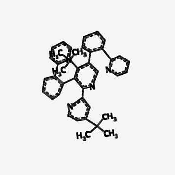 CC(C)(C)c1ccnc(-c2ncc(-c3ccccc3-c3ccccn3)c(C(C)(C)C)c2-c2ccccc2-c2ccccn2)c1